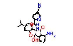 CC(C)c1ccc2c(c1)OC1(O)c3cccc(N)c3C(=O)C21NC(=O)c1ccc(C#N)cn1